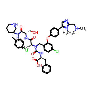 C[C@@H](C(=O)N[C@@H](CO)C(=O)N[C@@]1(Cc2ccc(Cl)cc2)CCCNC1)N(Cc1ccc(Cl)cc1Oc1ccc(-c2cnc(CN(C)C)n2C)cc1)C(=O)N[C@@H](Cc1ccccc1)C(=O)O